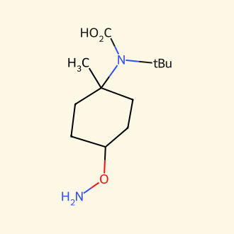 CC(C)(C)N(C(=O)O)C1(C)CCC(ON)CC1